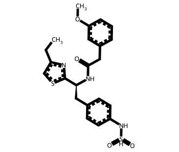 CCc1csc([C@H](Cc2ccc(N[SH](=O)=O)cc2)NC(=O)Cc2cccc(OC)c2)n1